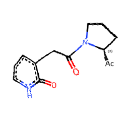 CC(=O)[C@@H]1CCCN1C(=O)Cc1ccc[nH]c1=O